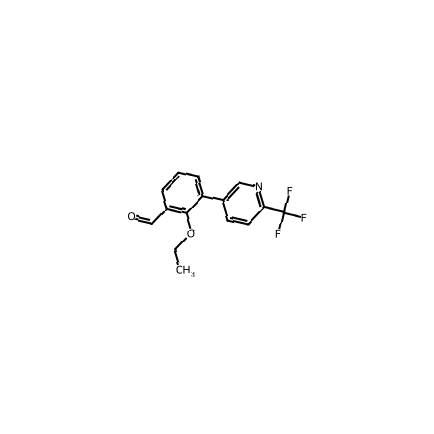 CCOc1c(C=O)cccc1-c1ccc(C(F)(F)F)nc1